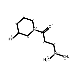 CC(C)C1CCCN(C(=O)CCN(C)C)C1